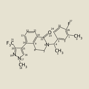 Cc1cc(C(C)N2CCc3c(cccc3-c3cn(C)nc3C(F)(F)F)C2=O)ccc1F